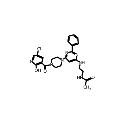 CC(=O)NCCNc1cc(N2CCN(C(=O)c3cc(Cl)cnc3O)CC2)nc(-c2ccccc2)n1